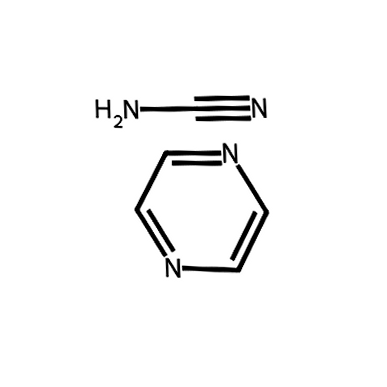 N#CN.c1cnccn1